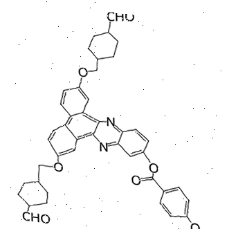 CCCCCCOc1ccc(C(=O)Oc2ccc3nc4c5cc(OCC6CCC(C=O)CC6)ccc5c5ccc(OCC6CCC(C=O)CC6)cc5c4nc3c2)cc1